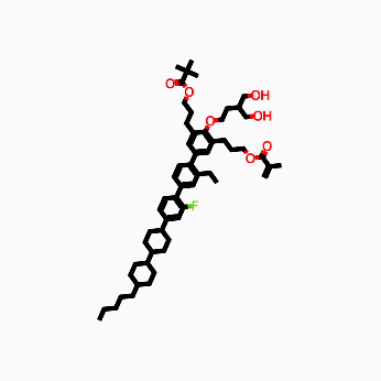 C=C(C)C(=O)OCCCc1cc(-c2ccc(-c3ccc(C4CCC(C5CCC(CCCCC)CC5)CC4)cc3F)cc2CC)cc(CCCOC(=O)C(C)(C)C)c1OCCC(CO)CO